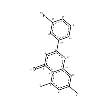 Cc1cc(C)n2c(=O)cc(-c3cccc(F)c3)nc2c1